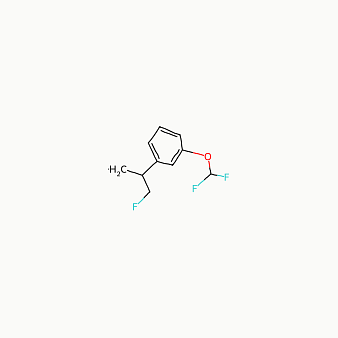 [CH2]C(CF)c1cccc(OC(F)F)c1